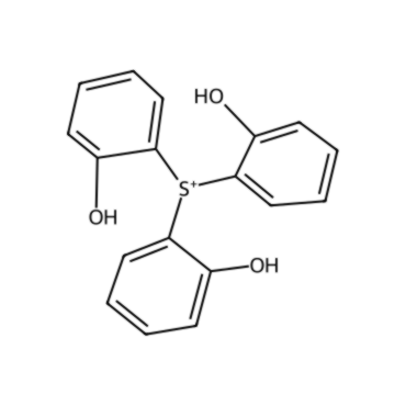 Oc1ccccc1[S+](c1ccccc1O)c1ccccc1O